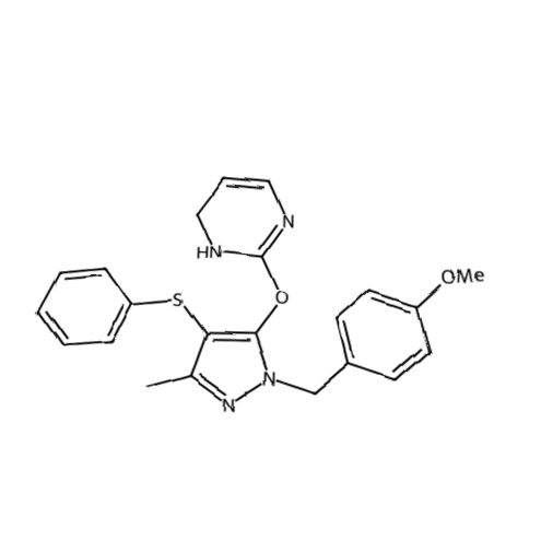 COc1ccc(Cn2nc(C)c(Sc3ccccc3)c2OC2=NC=CCN2)cc1